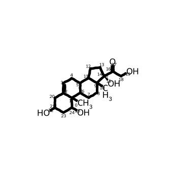 CC12C(=CCC3C1CCC1(C)C3CC[C@]1(O)C(=O)CO)CC(O)CC2O